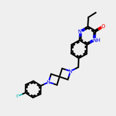 CCc1nc2ccc(CN3CC4(C3)CN(c3ccc(F)cc3)C4)cc2[nH]c1=O